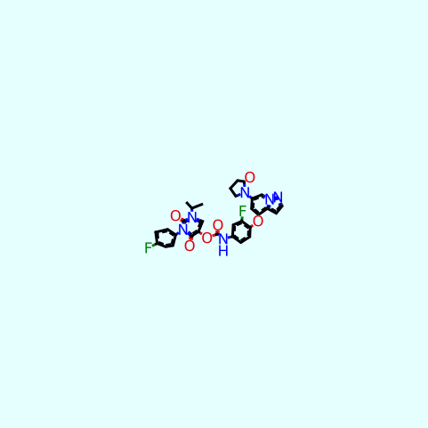 CC(C)n1cc(OC(=O)Nc2ccc(Oc3cc(N4CCCC4=O)cn4nccc34)c(F)c2)c(=O)n(-c2ccc(F)cc2)c1=O